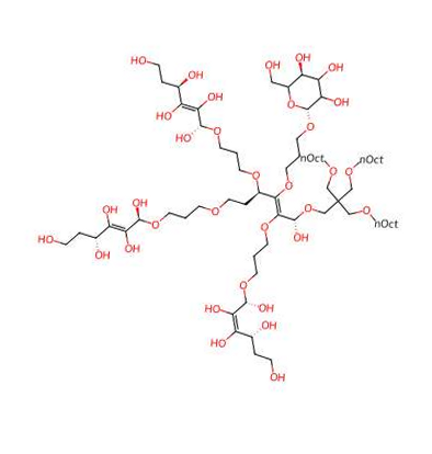 CCCCCCCCOCC(COCCCCCCCC)(COCCCCCCCC)CO[C@H](O)/C(OCCCO[C@H](O)/C(O)=C(/O)[C@H](O)CCO)=C(\OCCCO[C@@H]1OC(CO)[C@@H](O)C(O)C1O)[C@@H](CCOCCCO[C@H](O)/C(O)=C(\O)[C@H](O)CCO)OCCCO[C@H](O)/C(O)=C(\O)[C@H](O)CCO